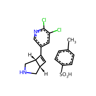 Cc1ccc(S(=O)(=O)O)cc1.Clc1cc(C2=C[C@@H]3CNC[C@H]23)cnc1Cl